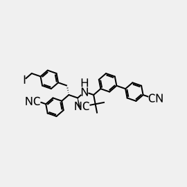 C[C@H](NC(c1cccc(-c2ccc(C#N)cc2)c1)C(C)(C)C#N)[C@@H](Cc1ccc(CI)cc1)c1cccc(C#N)c1